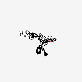 COc1cc(C(=O)N2CC3CCC2[C@@H]3N)cc2nc(-c3cc4ccccc4n3CC3CC3)n(CC3CN(C(=O)c4ccn(C)c(=O)c4)C3)c12